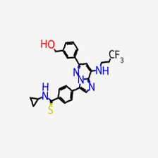 OCc1cccc(-c2cc(NCCC(F)(F)F)c3ncc(-c4ccc(C(=S)NC5CC5)cc4)n3n2)c1